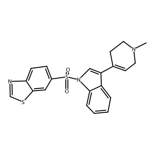 CN1CC=C(c2cn(S(=O)(=O)c3ccc4ncsc4c3)c3ccccc23)CC1